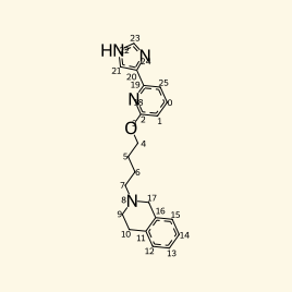 c1cc(OCCCCN2CCc3ccccc3C2)nc(-c2c[nH]cn2)c1